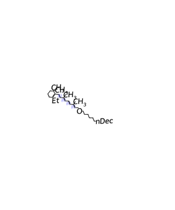 CCCCCCCCCCCCCCCCOC/C=C(C)/C=C/C=C(C)/C=C/C1=C(CC)CCCC1(C)C